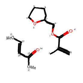 C=C(C)C(=O)OCC1CCCO1.COC=CC(=O)OC